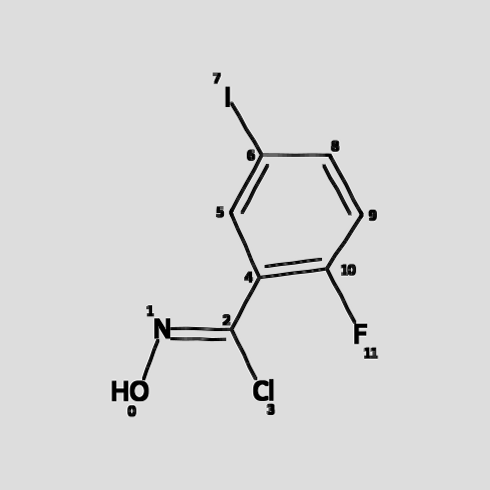 ON=C(Cl)c1cc(I)ccc1F